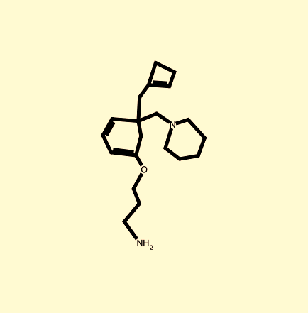 NCCCOC1=CC=CC(CC2=CCC2)(CN2CCCCC2)C1